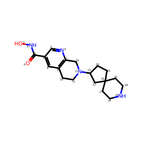 O=C(NO)c1cnc2c(c1)CCN(C1CCC3(CCNCC3)C1)C2